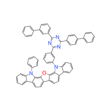 c1ccc(-c2ccc(-c3nc(-c4cccc(-c5ccccc5)c4)nc(-c4cccc(-n5c6ccccc6c6ccc7c8ccc9c%10ccccc%10n(-c%10ccccc%10)c9c8oc7c65)c4)n3)cc2)cc1